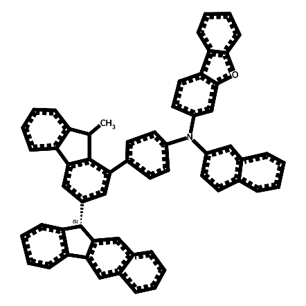 CC1c2ccccc2-c2cc([C@H]3c4ccccc4-c4cc5ccccc5cc43)cc(-c3ccc(N(c4ccc5ccccc5c4)c4ccc5c(c4)oc4ccccc45)cc3)c21